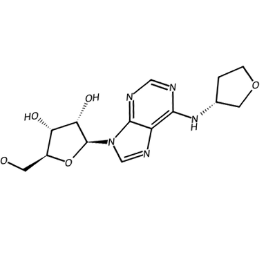 OC[C@@H]1O[C@H](n2cnc3c(N[C@@H]4CCOC4)ncnc32)[C@@H](O)[C@H]1O